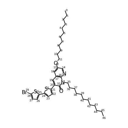 CCCCCCCCCCCCOc1cnc2c(c1)cc(-c1ccc(-c3ccc(Br)s3)s1)c(=O)n2CCCCCCCCCCCC